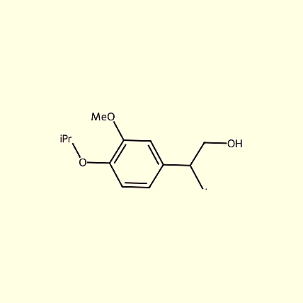 [CH2]C(CO)c1ccc(OC(C)C)c(OC)c1